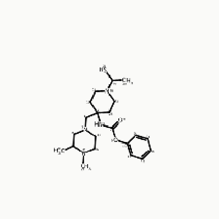 CC1CN(CC2(NC(=O)Oc3ccccc3)CCN(C(C)S)CC2)CCN1C